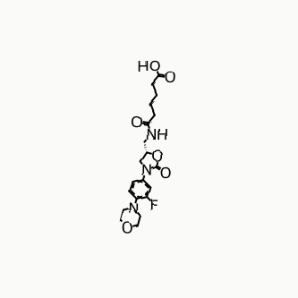 O=C(O)CCCCC(=O)NC[C@H]1CN(c2ccc(N3CCOCC3)c(F)c2)C(=O)O1